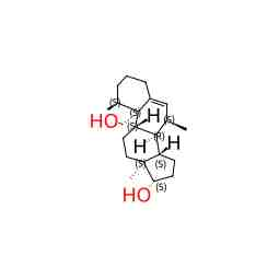 C[C@@H]1C=C2CCC[C@H](C)[C@]2(CO)[C@H]2CC[C@]3(C)[C@@H](O)CC[C@H]3[C@H]12